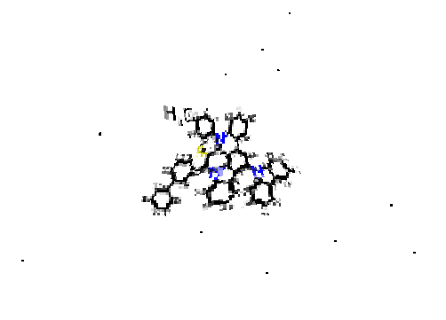 Cc1ccc(N2B3c4sc5ccc(-c6ccccc6)cc5c4-n4c5ccccc5c5c(-n6c7ccccc7c7ccccc76)cc(c3c54)-c3ccccc32)cc1